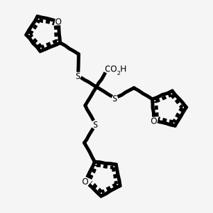 O=C(O)C(CSCc1ccco1)(SCc1ccco1)SCc1ccco1